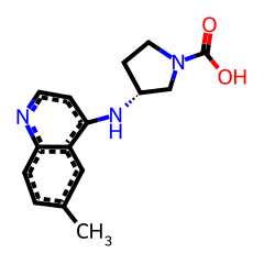 Cc1ccc2nccc(N[C@@H]3CCN(C(=O)O)C3)c2c1